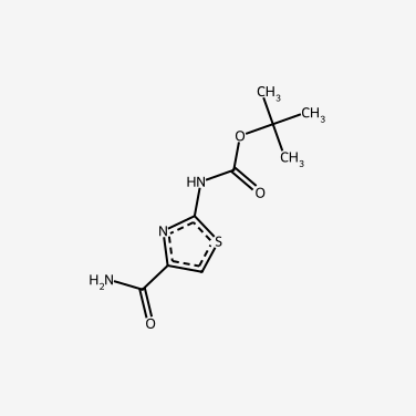 CC(C)(C)OC(=O)Nc1nc(C(N)=O)cs1